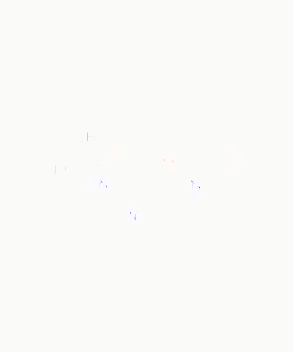 CC(C)C(=O)Nc1cc(C(=O)NC2CCOC2)ccn1